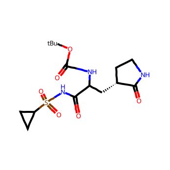 CC(C)(C)OC(=O)NC(C[C@@H]1CCNC1=O)C(=O)NS(=O)(=O)C1CC1